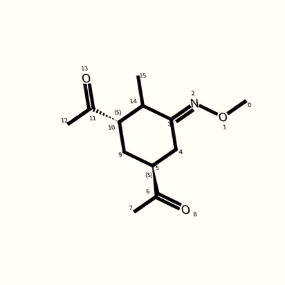 CON=C1C[C@@H](C(C)=O)C[C@H](C(C)=O)C1C